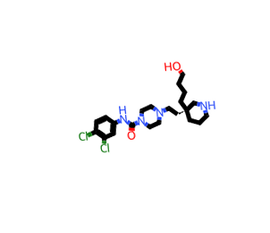 O=C(Nc1ccc(Cl)c(Cl)c1)N1CCN(CC[C@@]2(CCCCO)CCCNC2)CC1